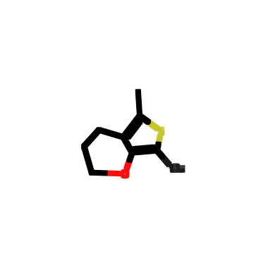 Cc1sc(C(C)(C)C)c2c1CCCO2